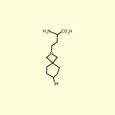 CC(C)C1CCC2(CC1)CN(CCC(N)C(=O)O)C2